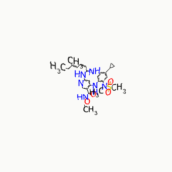 CCONC(=O)c1cnc(NC(=N)/C=C\C=C(/C)CC)cc1Nc1ccc(C2CC2)cc1N(C)S(C)(=O)=O